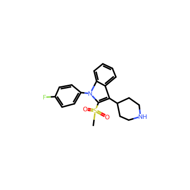 CS(=O)(=O)c1c(C2CCNCC2)c2ccccc2n1-c1ccc(F)cc1